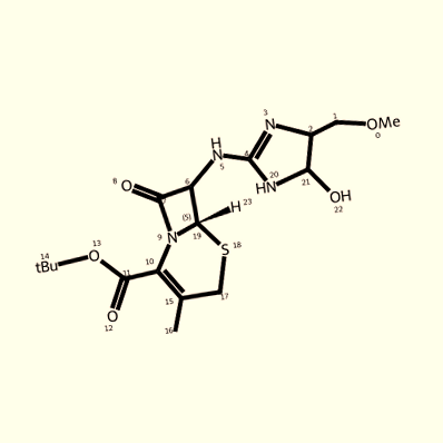 COCC1N=C(NC2C(=O)N3C(C(=O)OC(C)(C)C)=C(C)CS[C@@H]23)NC1O